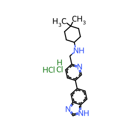 CC1(C)CCC(NCc2ccc(-c3ccc4[nH]cnc4c3)cn2)CC1.Cl.Cl